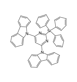 c1ccc([Si](c2ccccc2)(c2ccccc2)c2nc(-n3c4ccccc4c4ccccc43)cc(-n3c4ccccc4c4ccccc43)n2)cc1